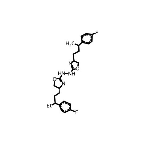 CCC(CC[C@H]1COC(NNC2=NC(CCC(C)c3ccc(F)cc3)CO2)=N1)c1ccc(F)cc1